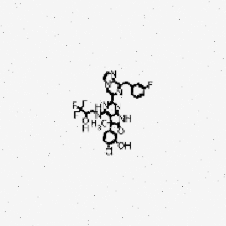 C[C@]1(c2ccc(Cl)c(O)c2)C(=O)Nc2nc(-c3cn4ccnc4c(Cc4cccc(F)c4)n3)nc(NCC(O)C(F)(F)F)c21